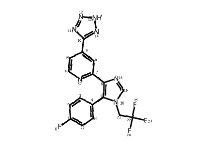 Fc1ccc(-c2c(-c3cc(-c4nn[nH]n4)ccn3)ncn2CC(F)(F)F)cc1